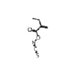 C=C(CC)C(=O)ON=C=S